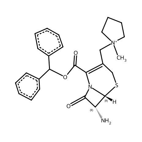 C[N+]1(CC2=C(C(=O)OC(c3ccccc3)c3ccccc3)N3C(=O)[C@@H](N)[C@H]3SC2)CCCC1